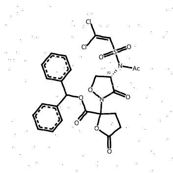 CC(=O)N([C@H]1CON(C2(C(=O)OC(c3ccccc3)c3ccccc3)CCC(=O)O2)C1=O)S(=O)(=O)C=C(Cl)Cl